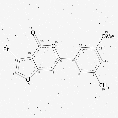 CCc1coc2cc(-c3cc(C)cc(OC)c3)oc(=O)c12